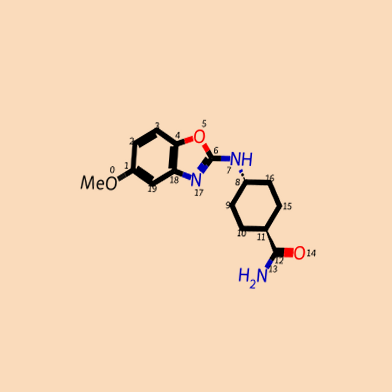 COc1ccc2oc(N[C@H]3CC[C@H](C(N)=O)CC3)nc2c1